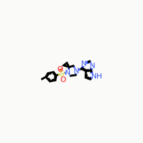 Cc1ccc(S(=O)(=O)N2CCN(c3ncnc4[nH]ccc34)CC23CC3)cc1